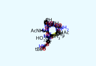 CC(=O)NCCCC[C@@H]1NC(=O)[C@H](Cc2c[nH]c3c(C)cccc23)NC(=O)[C@H]([C@@H](C)O)NC(=O)[C@H](CCC(N)=O)NC(=O)[C@@H](NC(C)=O)C(C)(C)SSC(C)(C)[C@@H](C(=O)N[C@@H](Cc2ccc(OCCNC(=O)OC(C)(C)C)cc2)C(=O)O)NC1=O